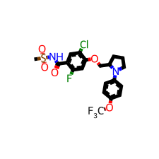 CS(=O)(=O)NC(=O)c1cc(Cl)c(OCC2CCCN2c2ccc(OC(F)(F)F)cc2)cc1F